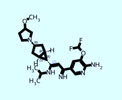 COC1CCN([C@H]2C[C@@H]3[C@H](C2)[C@H]3/C(=C/C(=N)c2cnc(N)c(OC(F)F)c2)NC(C)C)C1